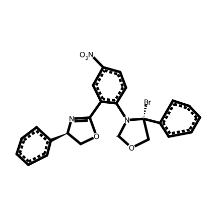 O=[N+]([O-])c1ccc(N2[CH]OC[C@]2(Br)c2ccccc2)c(C2=N[C@H](c3ccccc3)CO2)c1